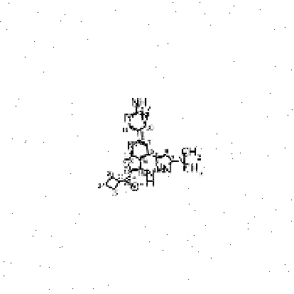 CN(C)c1cc2c3cc(-c4cnc(N)nc4)nc4sc([S+]([O-])C5CCC5)c([nH]n2n1)c43